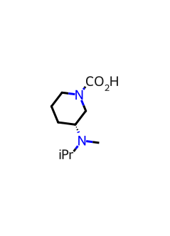 CC(C)N(C)[C@@H]1CCCN(C(=O)O)C1